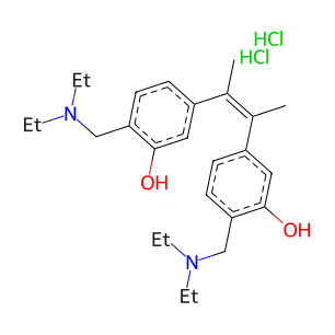 CCN(CC)Cc1ccc(C(C)=C(C)c2ccc(CN(CC)CC)c(O)c2)cc1O.Cl.Cl